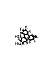 OC1c2c(c3c(F)c(F)c(F)cc3c3c(F)c(F)c(F)c(F)c23)C(F)=C(F)C1(O)F